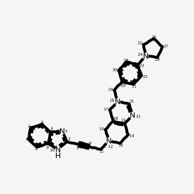 C(#Cc1nc2ccccc2[nH]1)CN1CCC2=C(CN(Cc3ccc(N4CCCC4)cc3)C=N2)C1